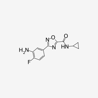 Nc1cc(-c2noc(C(=O)NC3CC3)n2)ccc1F